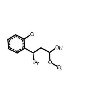 CCOC(O)C[C@H](c1ccccc1Cl)C(C)C